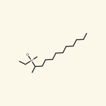 CCCCCCCCCCC(C)[N+](C)([O-])CC